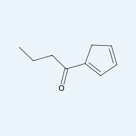 CCCC(=O)C1=CC=CC1